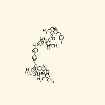 Cc1n[nH]c(Nc2ncnc3cc(OCCN4CCN(c5ccc(C(=O)N6CCN(C[C@H]7CN[C@H](C)CN7CC(=O)N7CC(C)(C)c8ncc(Cc9ccc(F)cc9)cc87)[C@H](C)C6)cn5)CC4)c(S(=O)(=O)C(C)(C)C)cc23)c1C